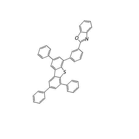 c1ccc(-c2cc(-c3ccccc3)c3sc4c(-c5cccc(-c6nc7ccccc7o6)c5)cc(-c5ccccc5)cc4c3c2)cc1